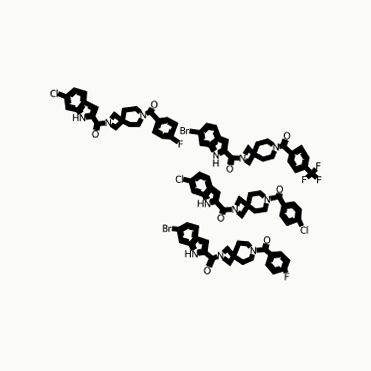 O=C(c1ccc(C(F)(F)F)cc1)N1CCC2(CC1)CN(C(=O)c1cc3ccc(Br)cc3[nH]1)C2.O=C(c1ccc(Cl)cc1)N1CCC2(CC1)CN(C(=O)c1cc3ccc(Cl)cc3[nH]1)C2.O=C(c1ccc(F)cc1)N1CCC2(CC1)CN(C(=O)c1cc3ccc(Br)cc3[nH]1)C2.O=C(c1ccc(F)cc1)N1CCC2(CC1)CN(C(=O)c1cc3ccc(Cl)cc3[nH]1)C2